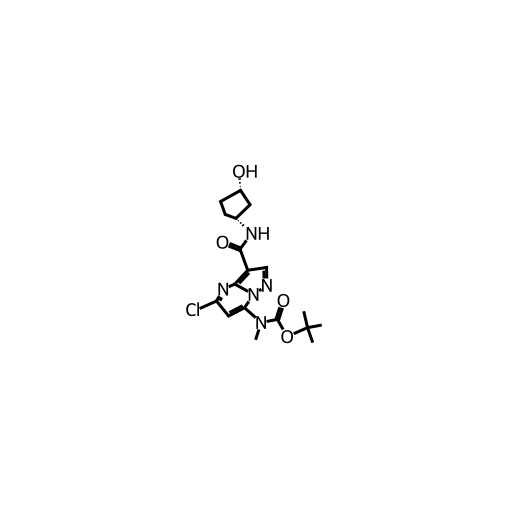 CN(C(=O)OC(C)(C)C)c1cc(Cl)nc2c(C(=O)N[C@@H]3CC[C@H](O)C3)cnn12